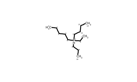 CCCCC[PH](CC)(CCC)CCCC